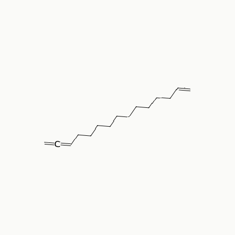 C=C=CCCCCCCCCCCC=C